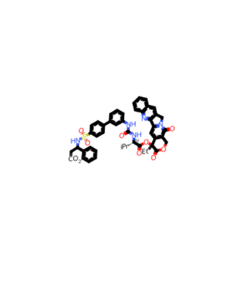 CCC1(OC(=O)[C@@H](NC(=O)Nc2cccc(-c3ccc(S(=O)(=O)NC(CC(=O)O)c4ccccc4)cc3)c2)C(C)C)C(=O)OCc2c1cc1n(c2=O)Cc2cc3ccccc3nc2-1